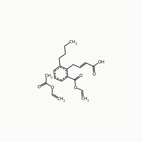 C=COC(=O)c1cccc(CCCC)c1C/C=C/C(=O)O.C=COC(C)=O